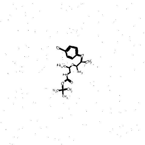 CC(CNC(=O)OC(C)(C)C)OC(N)[C@H](C)Oc1ccc(Cl)cc1